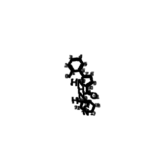 Cc1ccccc1-c1ccc(C(=O)N[C@H]2CN3CCC2CC3)[nH]1